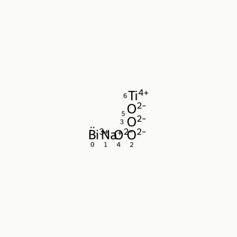 [Bi+3].[Na+].[O-2].[O-2].[O-2].[O-2].[Ti+4]